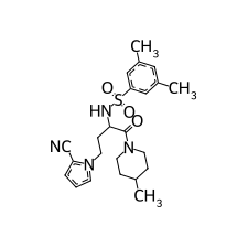 Cc1cc(C)cc(S(=O)(=O)NC(CCn2cccc2C#N)C(=O)N2CCC(C)CC2)c1